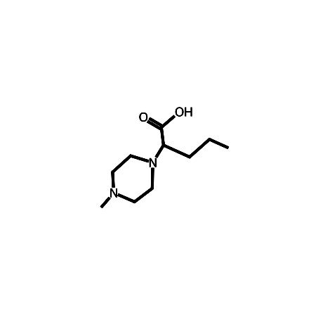 CCCC(C(=O)O)N1CCN(C)CC1